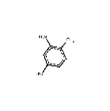 Cc1ncc(C(C)(C)C)cc1N